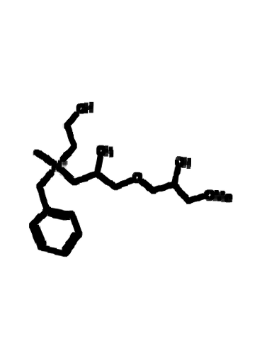 COCC(O)COCC(O)C[N+](C)(CCO)Cc1ccccc1